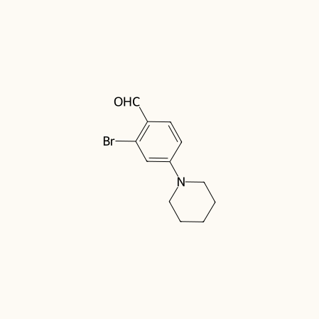 O=Cc1ccc(N2CCCCC2)cc1Br